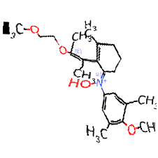 COCCO/C(C)=C(\C)C1=C(C)CCC/C1=[N+](/O)c1cc(C)c(OC)c(C)c1